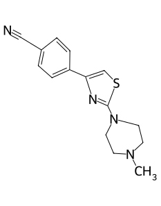 CN1CCN(c2nc(-c3ccc(C#N)cc3)cs2)CC1